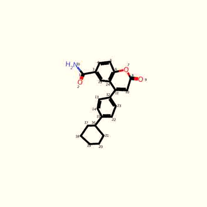 NC(=O)c1ccc2oc(=O)cc(-c3ccc(C4CCCCC4)cc3)c2c1